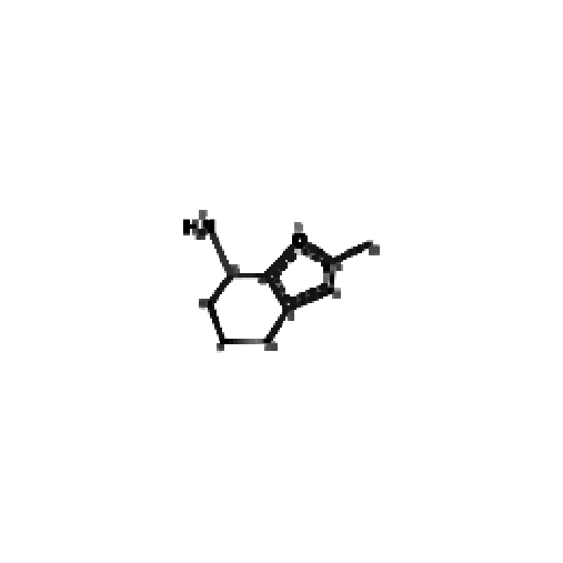 Cc1cc2c(o1)C(N)CCC2